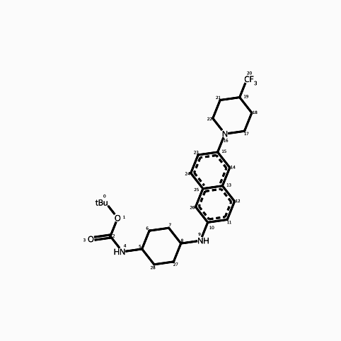 CC(C)(C)OC(=O)NC1CCC(Nc2ccc3cc(N4CCC(C(F)(F)F)CC4)ccc3c2)CC1